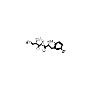 CC(C)C[C@H](N)C(=O)OC(=O)[C@@H](N)Cc1cccc(Br)c1